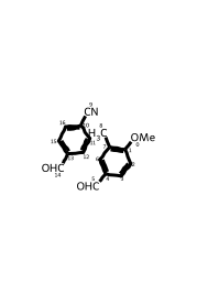 COc1ccc(C=O)cc1C.N#Cc1ccc(C=O)cc1